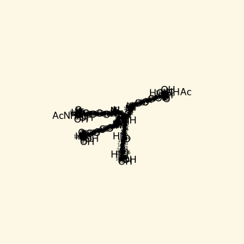 CC(=O)N[C@H]1[C@H]2OC[C@](COCCOCCOCCOCCn3cc(COCC(COCc4cn(CCOCCOCCOCCOC[C@@]56CO[C@@H](O5)[C@H](NC(C)=O)[C@@H](O)[C@H]6O)nn4)(COCc4cn(CCOCCOCCOCCOC[C@]56CO[C@H](C[C@@H](O)[C@H]5O)O6)nn4)NC(=O)CCCCCNC(=O)CCCCCC(=O)NC(CO)CO)nn3)(O2)[C@H](O)[C@@H]1O